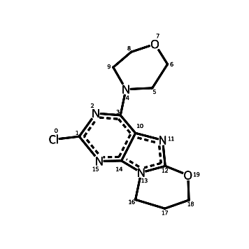 Clc1nc(N2CCOCC2)c2nc3n(c2n1)CCCO3